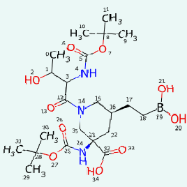 CC(O)C(NC(=O)OC(C)(C)C)C(=O)N1C[C@@H](CCB(O)O)C[C@](NC(=O)OC(C)(C)C)(C(=O)O)C1